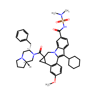 COc1ccc2c(c1)C1CC1(C(=O)N1C[C@@H]3CCCN3C[C@@H]1Cc1ccccc1)Cn1c-2c(C2CCCCC2)c2ccc(C(=O)NS(=O)(=O)N(C)C)cc21